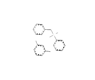 C[N+](C)(Cc1ccccc1)c1ccccc1.O=C(O)c1cccc(C(=O)O)c1